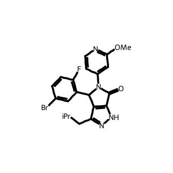 COc1cc(N2C(=O)c3[nH]nc(CC(C)C)c3C2c2cc(Br)ccc2F)ccn1